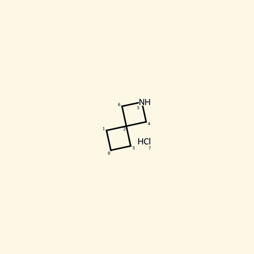 C1CC2(C1)CNC2.Cl